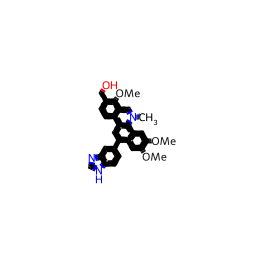 COc1cc2c(-c3ccc4[nH]cnc4c3)cc3c4ccc(CO)c(OC)c4c[n+](C)c3c2cc1OC